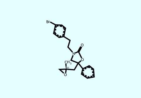 C[C@]1(CC2(c3ccccc3)CN(CCc3ccc(Br)cc3)C(=O)O2)CO1